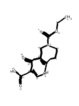 CCOC(=O)N1CCc2[nH]cc(C(=O)O)c(=O)c2C1